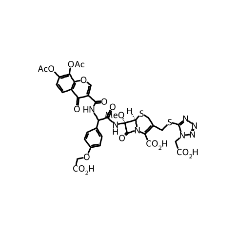 CO[C@@]1(NC(=O)C(NC(=O)c2coc3c(OC(C)=O)c(OC(C)=O)ccc3c2=O)c2ccc(OCC(=O)O)cc2)C(=O)N2C(C(=O)O)=C(CSc3nnnn3CC(=O)O)CS[C@@H]21